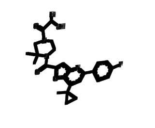 CC[C@@H](O)C(=O)N1CCN(C(=O)c2cc3nc(-c4ccc(F)cc4)cc(C4(C)CC4)c3o2)C(C)(C)C1